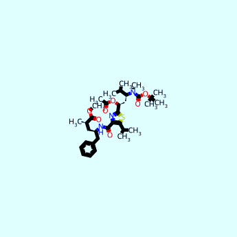 COC(=O)[C@@H](C)C[C@H](Cc1ccccc1)NC(=O)c1nc([C@@H](C[C@H](C(C)C)N(C)C(=O)OC(C)(C)C)OC(C)=O)sc1C(C)C